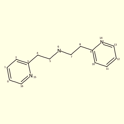 c1ccc(CC[N]CCc2ccccn2)nc1